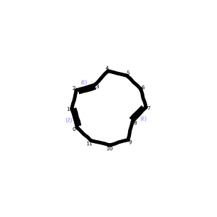 [C]1=C\C=C\CCC/C=C/CCC/1